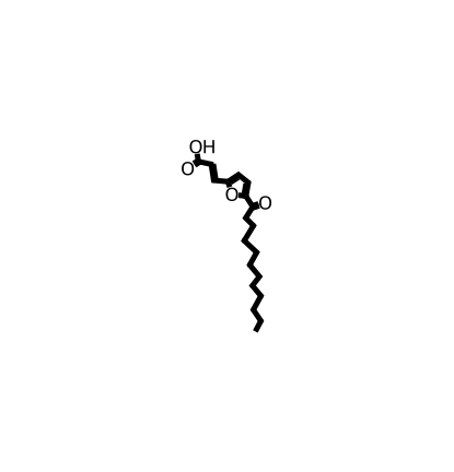 CCCCCCCCCCCC(=O)c1ccc(/C=C/C(=O)O)o1